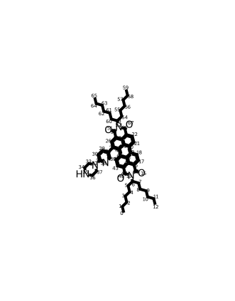 CCCCCCC(CCCCCC)N1C(=O)c2ccc3c4ccc5c6c(cc(-c7ccc(N8CCNCC8)nc7)c(c7ccc(c2c37)C1=O)c64)C(=O)N(C(CCCCCC)CCCCCC)C5=O